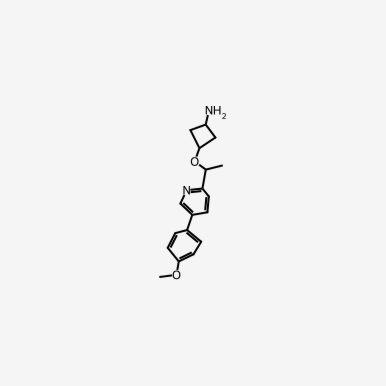 COc1ccc(-c2ccc(C(C)OC3CC(N)C3)nc2)cc1